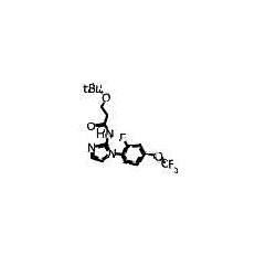 CC(C)(C)OCCC(=O)Nc1nccn1-c1ccc(OC(F)(F)F)cc1F